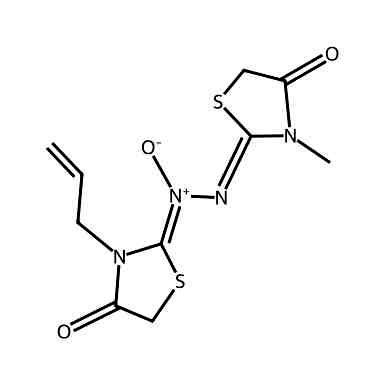 C=CCN1C(=O)CSC1=[N+]([O-])N=C1SCC(=O)N1C